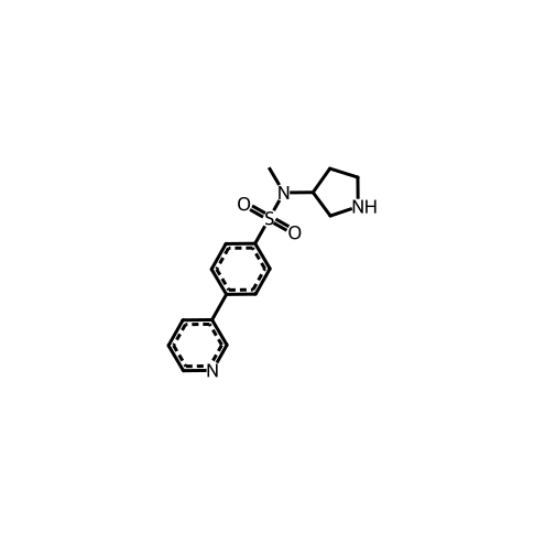 CN(C1CCNC1)S(=O)(=O)c1ccc(-c2cccnc2)cc1